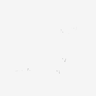 CC(=NO)c1ccc2c(c1)ncn2-c1cccc(C(=O)O)c1Cc1ccccn1